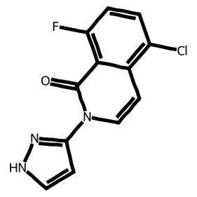 O=c1c2c(F)ccc(Cl)c2ccn1-c1cc[nH]n1